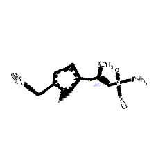 C/C(=C\S(N)(=O)=O)c1ccc(CC(C)C)cc1